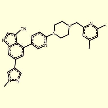 Cc1cc(C)nc(CN2CCN(c3ccc(-c4cc(-c5cnn(C)c5)cn5ncc(C#N)c45)cn3)CC2)n1